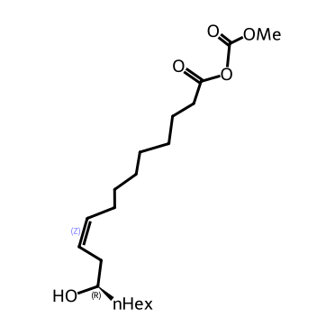 CCCCCC[C@@H](O)C/C=C\CCCCCCCC(=O)OC(=O)OC